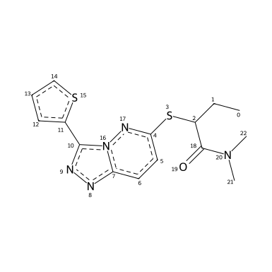 CCC(Sc1ccc2nnc(-c3cccs3)n2n1)C(=O)N(C)C